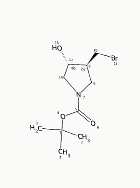 CC(C)(C)OC(=O)N1C[C@H](CBr)[C@@H](O)C1